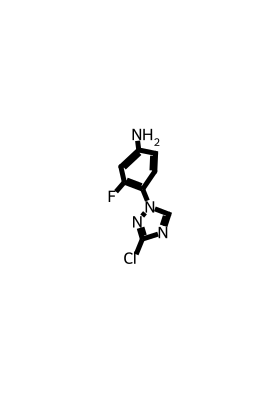 Nc1ccc(-n2cnc(Cl)n2)c(F)c1